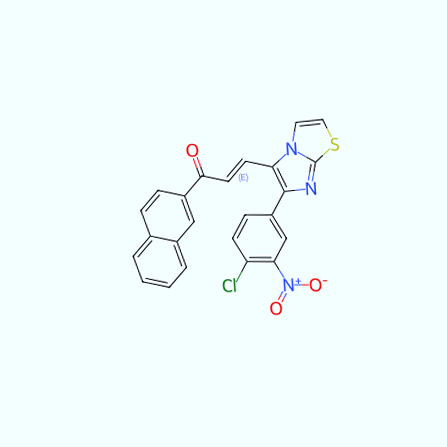 O=C(/C=C/c1c(-c2ccc(Cl)c([N+](=O)[O-])c2)nc2sccn12)c1ccc2ccccc2c1